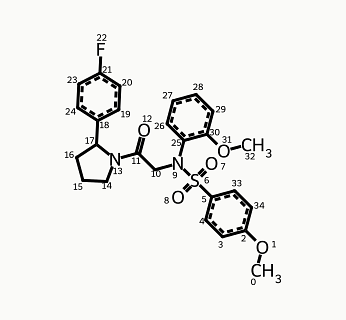 COc1ccc(S(=O)(=O)N(CC(=O)N2CCCC2c2ccc(F)cc2)c2ccccc2OC)cc1